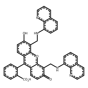 O=C(O)c1ccccc1-c1c2ccc(=O)c(CNc3cccc4cccnc34)c-2oc2c(CNc3cccc4cccnc34)c(O)ccc12